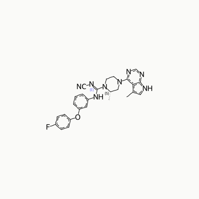 Cc1c[nH]c2ncnc(N3CCN(/C(=N/C#N)Nc4cccc(Oc5ccc(F)cc5)c4)[C@@H](C)C3)c12